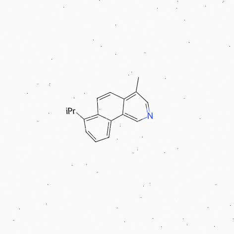 Cc1cncc2c1ccc1c(C(C)C)cccc12